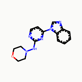 c1ccc2c(c1)ncn2-c1ccnc(NN2CCOCC2)n1